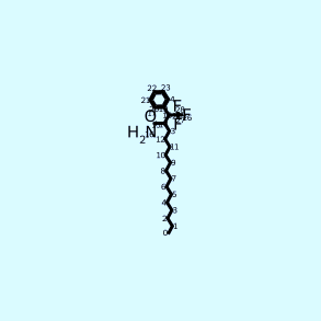 CCCCCCCCCCCCCCC(C(N)=O)C(c1ccccc1)C(F)(F)F